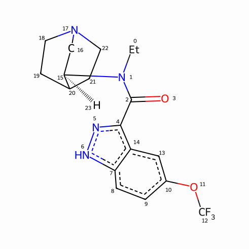 CCN(C(=O)c1n[nH]c2ccc(OC(F)(F)F)cc12)[C@@H]1CN2CCC1CC2